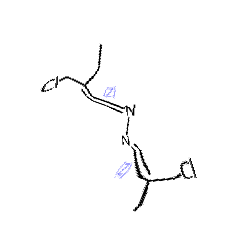 C/C(Cl)=N/N=C(/C)Cl